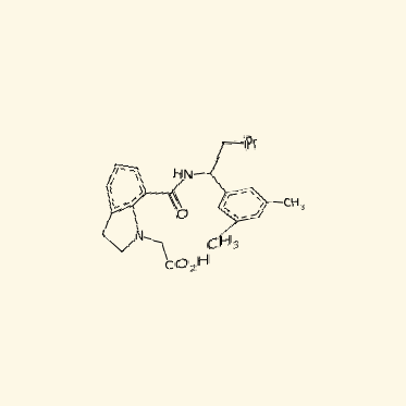 Cc1cc(C)cc(C(CC(C)C)NC(=O)c2cccc3c2N(CC(=O)O)CC3)c1